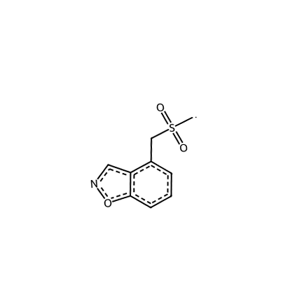 [CH2]S(=O)(=O)Cc1cccc2oncc12